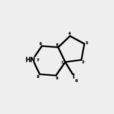 IC12CCCC1CNCC2